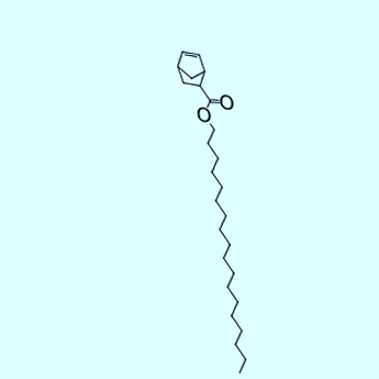 CCCCCCCCCCCCCCCCCCOC(=O)C1CC2C=CC1C2